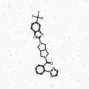 O=C(c1ccccc1-n1nccn1)N1CC2CN(c3nc4cc(C(F)(F)F)ccc4o3)CC2C1